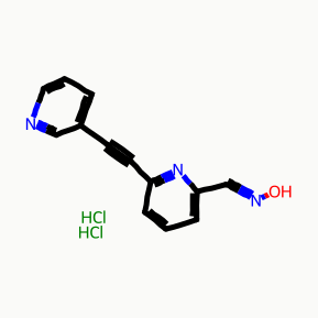 Cl.Cl.ON=Cc1cccc(C#Cc2cccnc2)n1